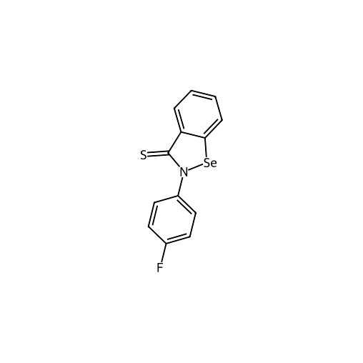 Fc1ccc(-n2[se]c3ccccc3c2=S)cc1